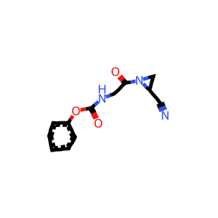 N#CC1CN1C(=O)CNC(=O)Oc1ccccc1